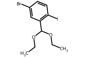 CCOC(OCC)c1cc(Br)ccc1I